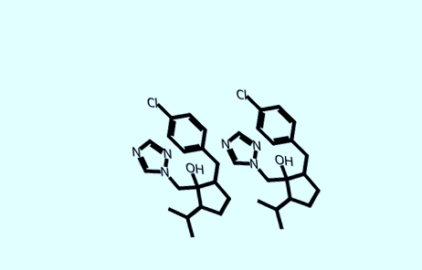 CC(C)C1CCC(Cc2ccc(Cl)cc2)C1(O)Cn1cncn1.CC(C)C1CCC(Cc2ccc(Cl)cc2)C1(O)Cn1cncn1